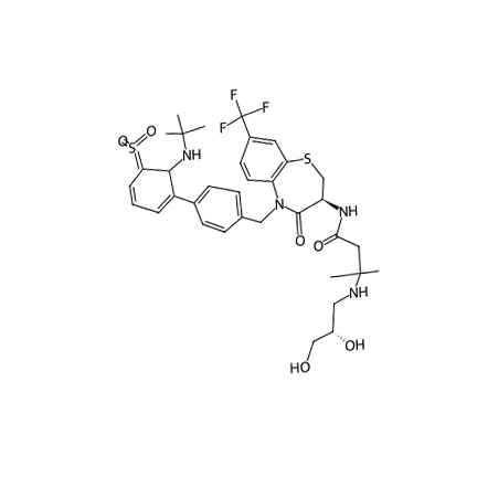 CC(C)(C)NC1C(c2ccc(CN3C(=O)[C@H](NC(=O)CC(C)(C)NC[C@H](O)CO)CSc4cc(C(F)(F)F)ccc43)cc2)=CC=CC1=S(=O)=O